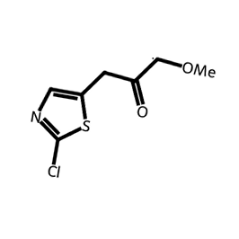 CO[CH]C(=O)Cc1cnc(Cl)s1